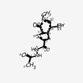 CC(=O)NNC(=O)c1cc2c(Br)cn(C)c(=O)c2s1